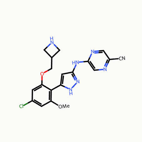 COc1cc(Cl)cc(OCC2CNC2)c1-c1cc(Nc2cnc(C#N)cn2)n[nH]1